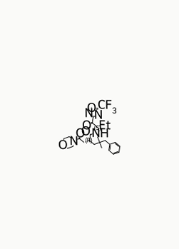 CC[C@H](NC(=O)[C@@H](CC(=O)N1CCOCC1)CC(C)(C)Cc1ccccc1)C(=O)c1noc(C(F)(F)F)n1